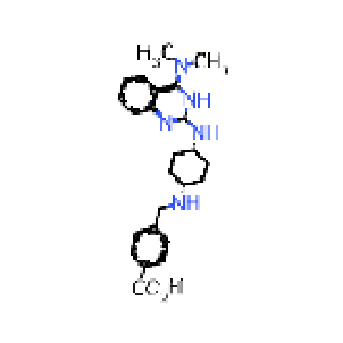 CN(C)C1=c2ccccc2=NC(N[C@H]2CC[C@@H](NCc3ccc(C(=O)O)cc3)CC2)N1